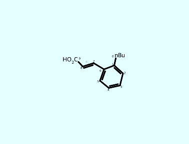 CCCCc1ccccc1/C=C/C(=O)O